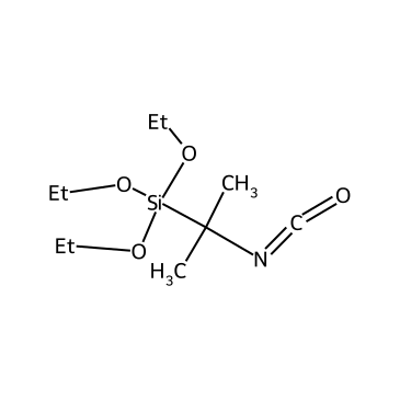 CCO[Si](OCC)(OCC)C(C)(C)N=C=O